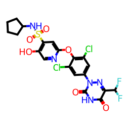 O=c1[nH]c(=O)n(-c2cc(Cl)c(Oc3cc(S(=O)(=O)NC4CCCC4)c(O)cn3)c(Cl)c2)nc1C(F)F